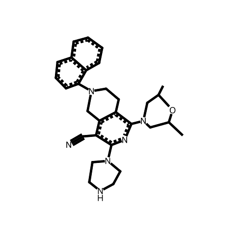 CC1CN(c2nc(N3CCNCC3)c(C#N)c3c2CCN(c2cccc4ccccc24)C3)CC(C)O1